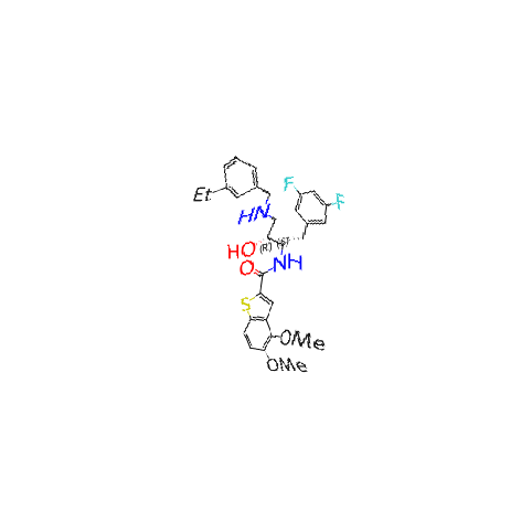 CCc1cccc(CNC[C@@H](O)[C@H](Cc2cc(F)cc(F)c2)NC(=O)c2cc3c(OC)c(OC)ccc3s2)c1